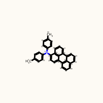 Cc1ccc(N(c2ccc(C)cc2)c2ccc3c4cccc5cccc(c6cccc2c63)c54)cc1